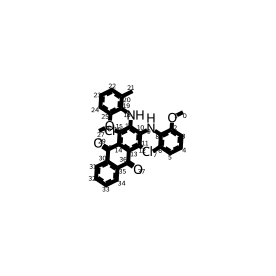 COc1cccc(C)c1Nc1c(Cl)c2c(c(Cl)c1Nc1c(C)cccc1OC)C(=O)c1ccccc1C2=O